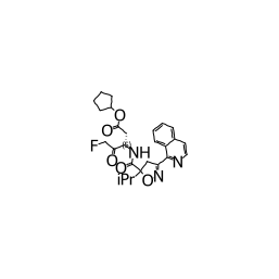 CC(C)C1(C(=O)N[C@@H](CC(=O)OC2CCCC2)C(=O)CF)CC(c2nccc3ccccc23)=NO1